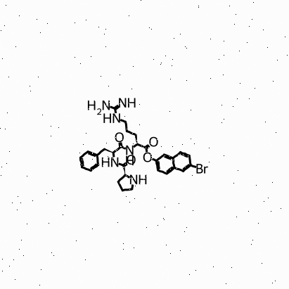 N=C(N)NCCC[C@H](NC(=O)[C@H](Cc1ccccc1)NC(=O)[C@@H]1CCCN1)C(=O)Oc1ccc2cc(Br)ccc2c1